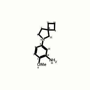 COc1ccc(N2CCC3(CCC3)C2)cc1N